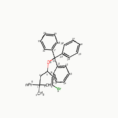 CCCC(C)(C)CC(C=CBr)OC(c1ccccc1)(c1ccccc1)c1ccccc1